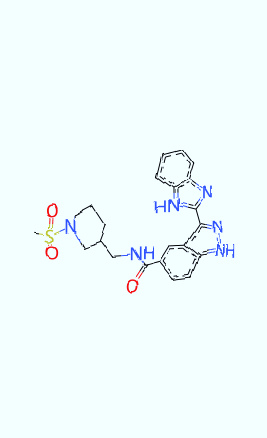 CS(=O)(=O)N1CCCC(CNC(=O)c2ccc3[nH]nc(-c4nc5ccccc5[nH]4)c3c2)C1